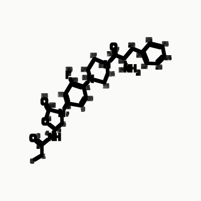 CCC(=O)N[C@@H]1CN(c2ccc(N3CCN(C(=O)[C@@H](N)Cc4ccccc4)CC3)c(F)c2)C(=O)O1